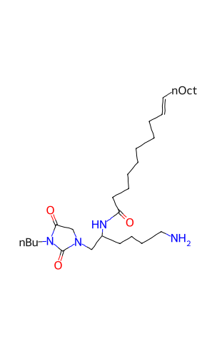 CCCCCCCC/C=C/CCCCCCCC(=O)NC(CCCCN)CN1CC(=O)N(CCCC)C1=O